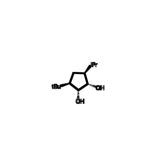 CC(C)[C@@H]1C[C@H](C(C)(C)C)[C@@H](O)[C@H]1O